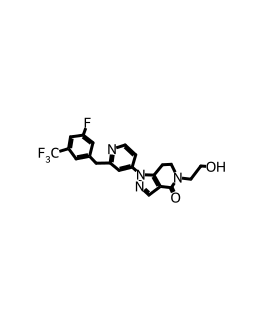 O=C1c2cnn(-c3ccnc(Cc4cc(F)cc(C(F)(F)F)c4)c3)c2CCN1CCO